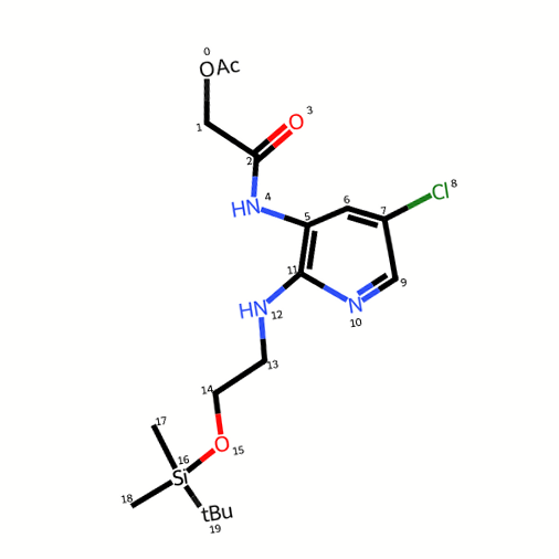 CC(=O)OCC(=O)Nc1cc(Cl)cnc1NCCO[Si](C)(C)C(C)(C)C